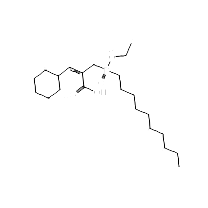 CCCCCCCCCCP(=O)(C/C(=C/C1CCCCC1)C(=O)O)OCC